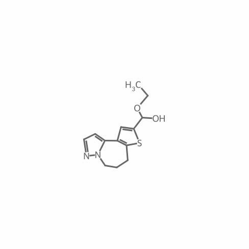 CCOC(O)c1cc2c(s1)CCCn1nccc1-2